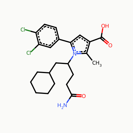 Cc1c(C(=O)O)cc(-c2ccc(Cl)c(Cl)c2)n1C(CCC(N)=O)CC1CCCCC1